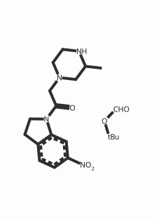 CC(C)(C)OC=O.CC1CN(CC(=O)N2CCc3ccc([N+](=O)[O-])cc32)CCN1